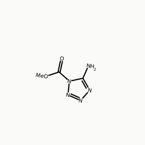 COC(=O)n1nnnc1N